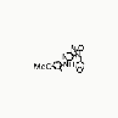 COc1ccc(Nc2cc3c(cn2)n(C)c(=O)n3CC2CCOCC2)c(C)c1